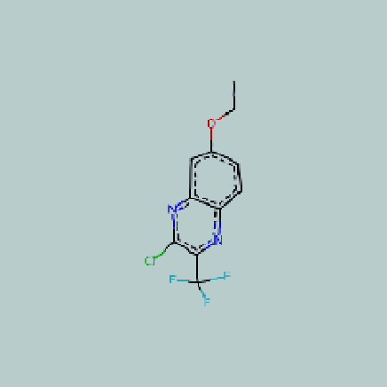 CCOc1ccc2nc(C(F)(F)F)c(Cl)nc2c1